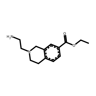 CCOC(=O)c1ccc2c(c1)CN(CCN)CC2